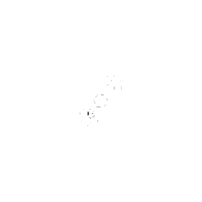 CC1(C)OB(c2ccc(C3OC(C)(C)C(C)(C)O3)cc2)OC1(C)C